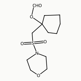 O=COC1(CS(=O)(=O)N2CCOCC2)CCCCC1